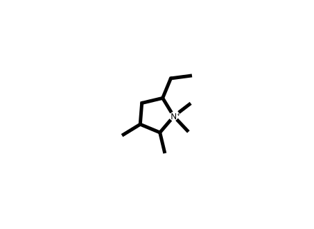 CCC1CC(C)C(C)[N+]1(C)C